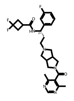 Cc1ncnc(C)c1C(=O)N1CC2CN(CC[C@H](NC(=O)C3CC(F)(F)C3)c3cccc(F)c3)CC2C1